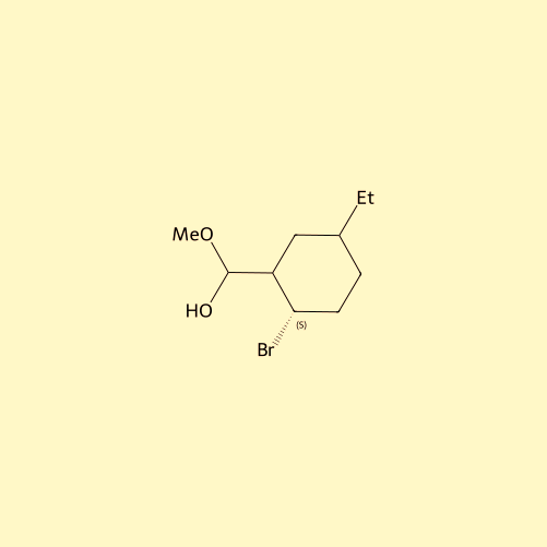 CCC1CC[C@H](Br)C(C(O)OC)C1